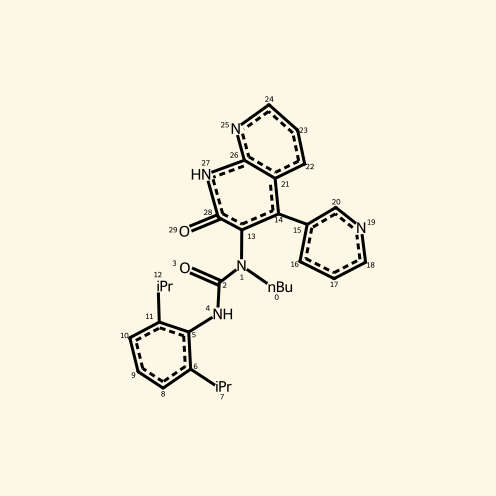 CCCCN(C(=O)Nc1c(C(C)C)cccc1C(C)C)c1c(-c2cccnc2)c2cccnc2[nH]c1=O